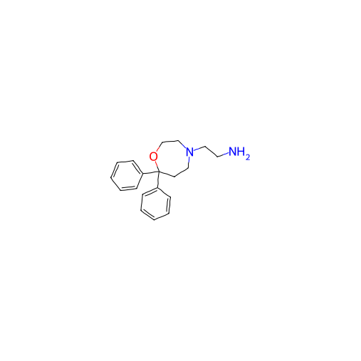 NCCN1CCOC(c2ccccc2)(c2ccccc2)CC1